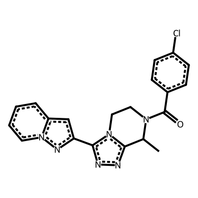 CC1c2nnc(-c3cc4ccccn4n3)n2CCN1C(=O)c1ccc(Cl)cc1